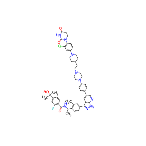 Cc1cc(-c2n[nH]c3ncc(-c4ccc(N5CCN(CCC6CCN(c7ccc(N8CCC(=O)NC8=O)c(Cl)c7)CC6)CC5)cc4)cc23)ccc1C(C)NC(=O)c1ccc(C(C)(C)O)cc1F